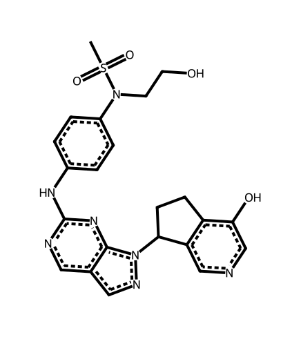 CS(=O)(=O)N(CCO)c1ccc(Nc2ncc3cnn(C4CCc5c(O)cncc54)c3n2)cc1